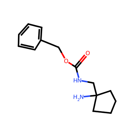 NC1(CNC(=O)OCc2ccccc2)CCCC1